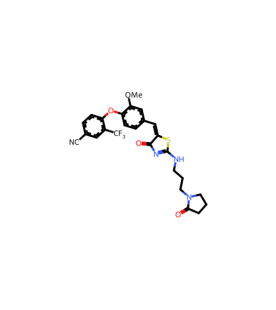 COc1cc(C=C2SC(NCCCN3CCCC3=O)=NC2=O)ccc1Oc1ccc(C#N)cc1C(F)(F)F